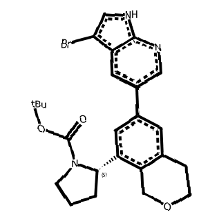 CC(C)(C)OC(=O)N1CCC[C@H]1c1cc(-c2cnc3[nH]cc(Br)c3c2)cc2c1COCC2